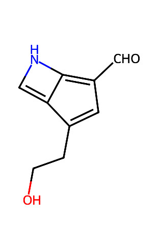 O=CC1=C2NC=C2C(CCO)=C1